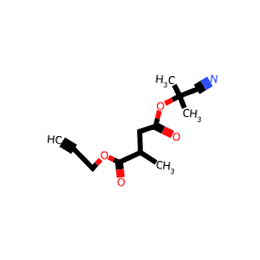 C#CCOC(=O)C(C)CC(=O)OC(C)(C)C#N